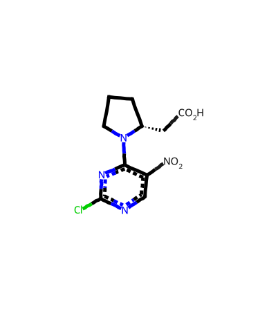 O=C(O)C[C@H]1CCCN1c1nc(Cl)ncc1[N+](=O)[O-]